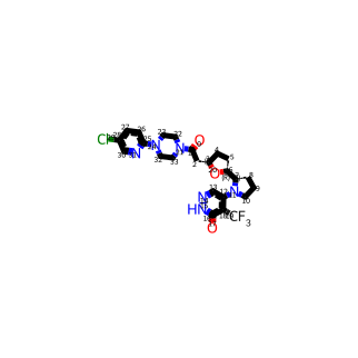 O=C(C[C@@H]1CC[C@H]([C@@H]2CCCN2c2cn[nH]c(=O)c2C(F)(F)F)O1)N1CCN(c2ccc(Cl)cn2)CC1